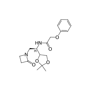 CC1(C)OCC([C@@H](CN2CCC2=O)NC(=O)COc2ccccc2)O1